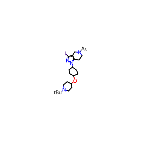 CC(=O)N1CCc2c(c(I)nn2C2CCC(OC3CCN(C(C)(C)C)CC3)CC2)C1